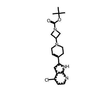 CC(C)(C)OC(=O)N1CC(N2CC=C(c3cc4c(Cl)ccnc4[nH]3)CC2)C1